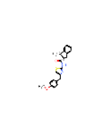 COc1ccc(Cc2csc(NC(=O)[C@H]3Cc4ccccc4[C@@H]3C)n2)cc1